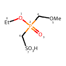 CCOP(=O)(COC)CS(=O)(=O)O